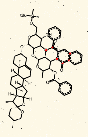 CC1O[C@@H](OC2C(OC(=O)c3ccccc3)[C@H](O)C(CO[Si](C)(C)C(C)(C)C)O[C@H]2O[C@H]2CC[C@@]3(C)C(=CC[C@H]4[C@@H]5C[C@@H]6O[C@]7(CC[C@@H](C)CO7)[C@@H](C)[C@@H]6[C@@]5(C)CC[C@@H]43)C2)[C@@H](OC(=O)c2ccccc2)C(OC(=O)c2ccccc2)[C@H]1OC(=O)c1ccccc1